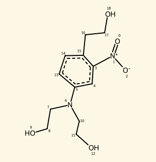 O=[N+]([O-])c1cc(N(CCO)CCO)ccc1CCO